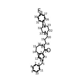 O=C1c2cn(Cc3ccccc3)cc2CCCN1CCCN1CCN(c2ccc(F)cc2)CC1